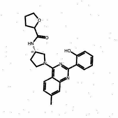 Cc1ccc2c(N3CC[C@H](NC(=O)C4CCCO4)C3)nc(-c3ccccc3O)nc2c1